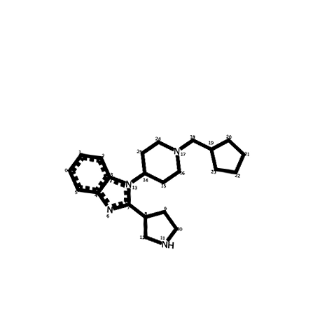 c1ccc2c(c1)nc(C1CCNC1)n2C1CCN(CC2CCCC2)CC1